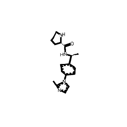 Cc1nccn1-c1ccc([C@H](C)NC(=O)[C@@H]2CCCN2)cc1